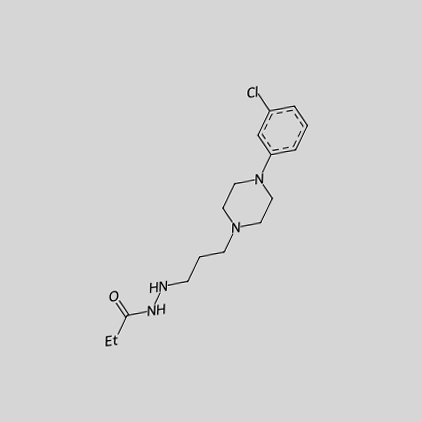 CCC(=O)NNCCCN1CCN(c2cccc(Cl)c2)CC1